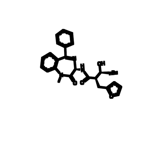 CCCC[C@H](O)[C@@H](Cc1ccco1)C(=O)N[C@H]1N=C(c2ccccc2)c2ccccc2N(C)C1=O